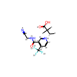 CCC(C)(C)C(=O)O.N#CCNC(=O)c1cnccc1C(F)(F)F